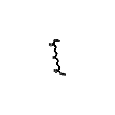 CO[SiH2]CCCNCCC[SiH2]OC